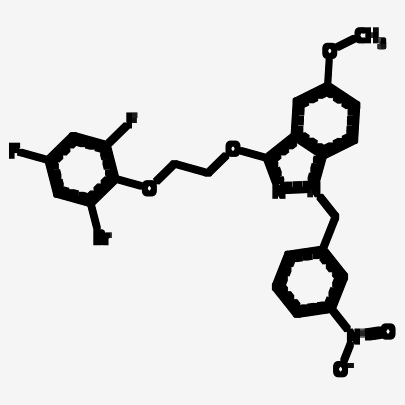 COc1ccc2c(c1)c(OCCOc1c(F)cc(F)cc1Br)nn2Cc1cccc([N+](=O)[O-])c1